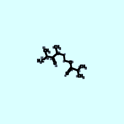 CC(C)C(=O)OCCN(C)C(=O)C(C)C